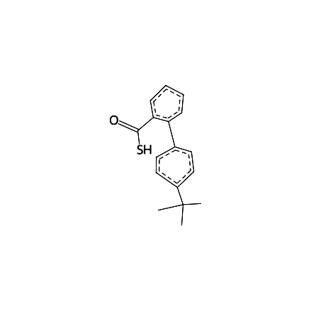 CC(C)(C)c1ccc(-c2ccccc2C(=O)S)cc1